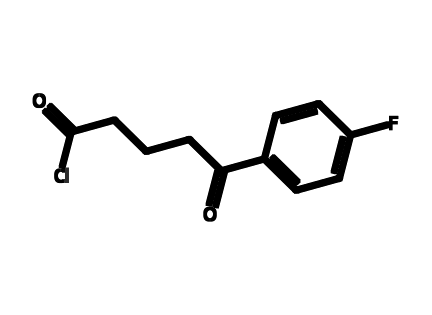 O=C(Cl)CCCC(=O)c1ccc(F)cc1